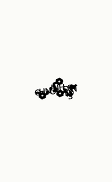 COc1cccc(CNCC[C@H](Cc2ccccc2)NC(=O)c2cccc(C(=O)N3CSC[C@@H]3c3nc(C)cs3)c2)c1